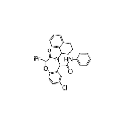 CC(C)C1Oc2ccc(Cl)cc2C(C(=O)Nc2ccccc2)N(C2CCCc3ccccc32)C1=O